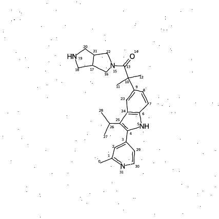 Cc1cc(-c2[nH]c3ccc(C(C)(C)C(=O)N4CC5CNCC5C4)cc3c2C(C)C)ccn1